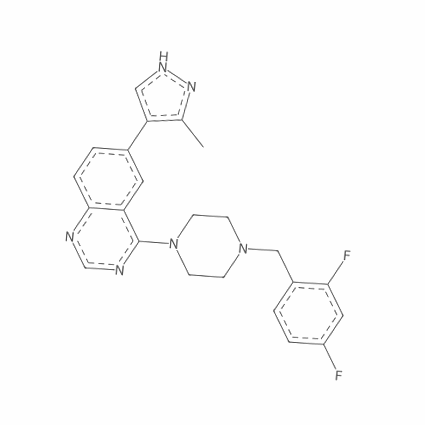 Cc1n[nH]cc1-c1ccc2ncnc(N3CCN(Cc4ccc(F)cc4F)CC3)c2c1